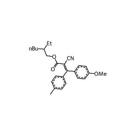 CCCCC(CC)COC(=O)/C(C#N)=C(\c1ccc(C)cc1)c1ccc(OC)cc1